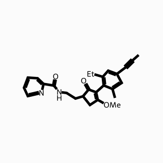 CC#Cc1cc(C)c(C2=C(OC)CC(CCNC(=O)c3ccccn3)C2=O)c(CC)c1